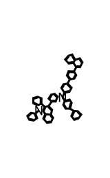 C1=C=C(c2cccc3ccccc23)C=CC=1c1ccc(N(c2ccc(-c3ccccc3)cc2)c2cccc(-c3cc4ccccc4c4c3c3ccccc3n4-c3ccccc3)c2)cc1